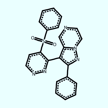 O=S(=O)(c1ccccc1)c1ccnnc1-c1c(-c2ccccc2)nn2ccncc12